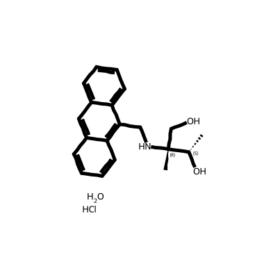 C[C@H](O)[C@@](C)(CO)NCc1c2ccccc2cc2ccccc12.Cl.O